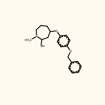 CC(C)(C)C1CC(Oc2ccc(OCc3ccccc3)cc2)CCCN1C(=O)O